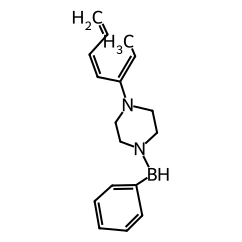 C=C/C=C\C(=C/C)N1CCN(Bc2ccccc2)CC1